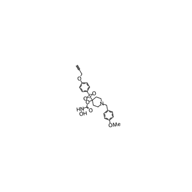 C#CCOc1ccc(S(=O)(=O)C2(OC(=O)NO)CCN(Cc3ccc(OC)cc3)CC2)cc1